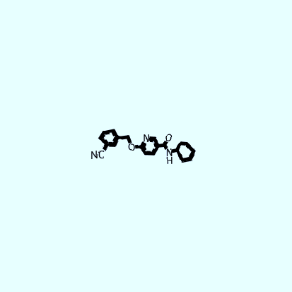 N#Cc1cccc(COc2ccc(C(=O)NC3CCCCC3)cn2)c1